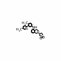 Cc1ccc(-c2cc(Nc3cccc4c3CCN([C@@H]3CCS(=O)(=O)C3)C4)ccc2C)nc1